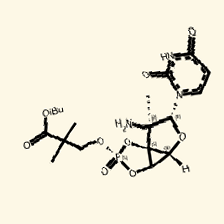 CC(C)COC(=O)C(C)(C)CO[P@@]1(=O)OC2[C@H]3O[C@@H](n4ccc(=O)[nH]c4=O)[C@](C)(N)[C@@]23O1